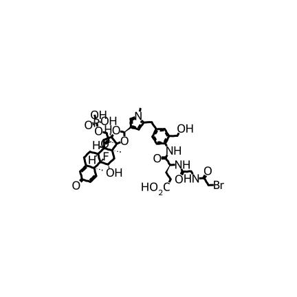 Cn1cc([C@@H]2O[C@@H]3C[C@H]4[C@@H]5CCC6=CC(=O)C=C[C@]6(C)[C@@]5(F)[C@@H](O)C[C@]4(C)[C@]3(C(=O)COP(=O)(O)O)O2)cc1Cc1ccc(NC(=O)[C@H](CCC(=O)O)NC(=O)CNC(=O)CBr)c(CO)c1